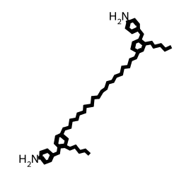 CCCCCc1cc(CCCCCCCCCCCCCCCCCCCCc2ccc(Cc3ccc(N)cc3)c(CCCCC)c2)ccc1Cc1ccc(N)cc1